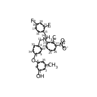 Cc1cc(O)cc(Oc2ccc(CN(Cc3ccc(F)cc3F)c3cccc([N+](=O)[O-])c3C)cc2)c1